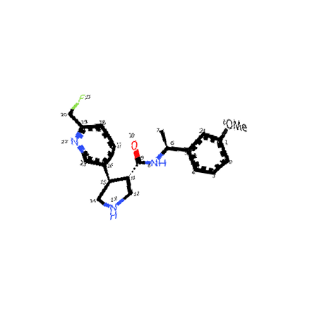 COc1cccc([C@H](C)NC(=O)[C@@H]2CNC[C@H]2c2ccc(CF)nc2)c1